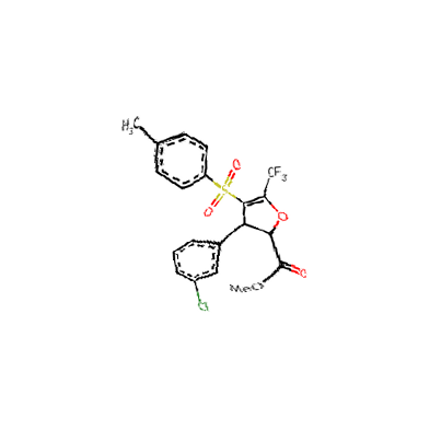 COC(=O)C1OC(C(F)(F)F)=C(S(=O)(=O)c2ccc(C)cc2)C1c1cccc(Cl)c1